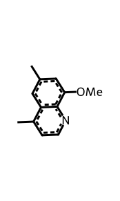 COc1cc(C)cc2c(C)ccnc12